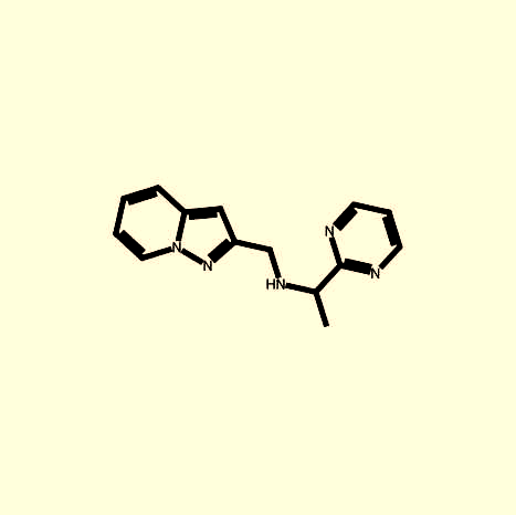 CC(NCc1cc2ccccn2n1)c1ncccn1